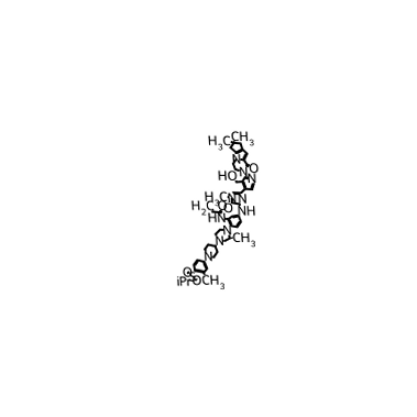 C=CC(=O)Nc1cc(Nc2nc(-c3ccnc(N4CCn5c(cc6c5CC(C)(C)C6)C4=O)c3CO)cn(C)c2=O)ccc1N1CCN(C2CCN(c3ccc(S(=O)(=O)C(C)C)c(C)c3)CC2)C[C@@H]1C